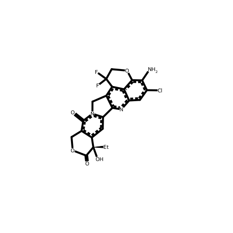 CC[C@@]1(O)C(=O)OCc2c1cc1n(c2=O)Cc2c-1nc1cc(Cl)c(N)c3c1c2C(F)(F)CO3